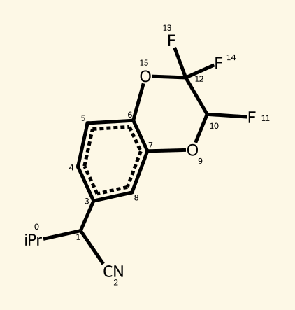 CC(C)C(C#N)c1ccc2c(c1)OC(F)C(F)(F)O2